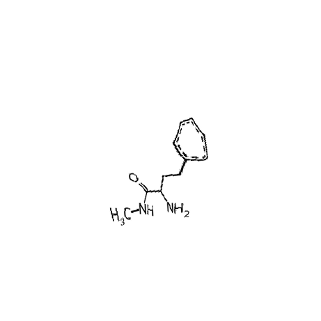 CNC(=O)C(N)CCc1ccccc1